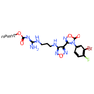 CCCCCOC(=O)/N=C(\N)NCCCNc1nonc1-c1noc(=O)n1-c1ccc(F)c(Br)c1